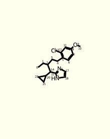 CCC(CCc1ccc(OC)cc1Cl)C(c1ncc[nH]1)C1CC1